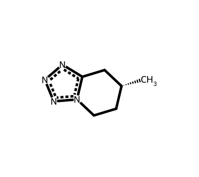 C[C@@H]1CCn2nnnc2C1